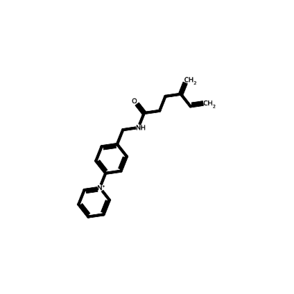 C=CC(=C)CCC(=O)NCc1ccc(-[n+]2ccccc2)cc1